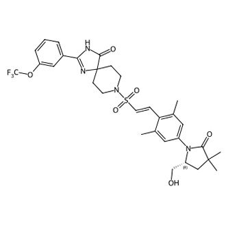 Cc1cc(N2C(=O)C(C)(C)C[C@@H]2CO)cc(C)c1C=CS(=O)(=O)N1CCC2(CC1)N=C(c1cccc(OC(F)(F)F)c1)NC2=O